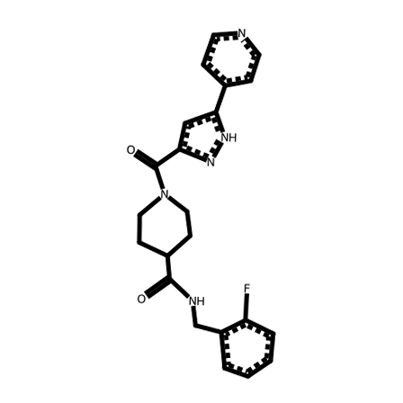 O=C(NCc1ccccc1F)C1CCN(C(=O)c2cc(-c3ccncc3)[nH]n2)CC1